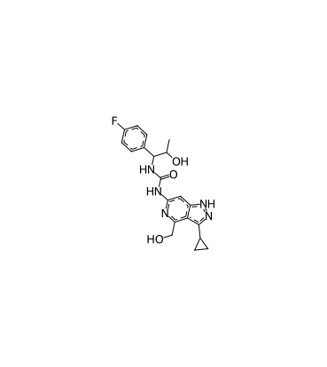 CC(O)C(NC(=O)Nc1cc2[nH]nc(C3CC3)c2c(CO)n1)c1ccc(F)cc1